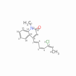 C\C=C(Cl)/C=C\C=C\c1cc(=O)n(C)c2ccccc12